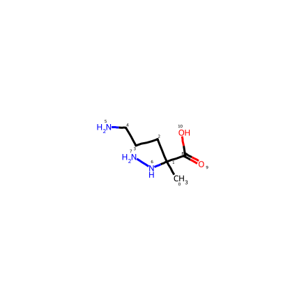 CC(CCCN)(NN)C(=O)O